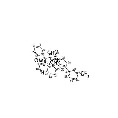 COc1ccccc1C(c1ccnc2ccccc12)C(C)(C#N)C(=O)N1CCC(c2cccc(C(F)(F)F)c2)CC1